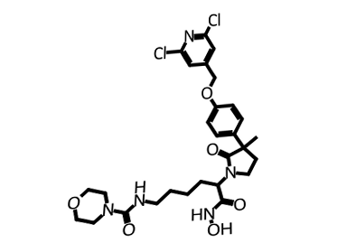 CC1(c2ccc(OCc3cc(Cl)nc(Cl)c3)cc2)CCN(C(CCCCNC(=O)N2CCOCC2)C(=O)NO)C1=O